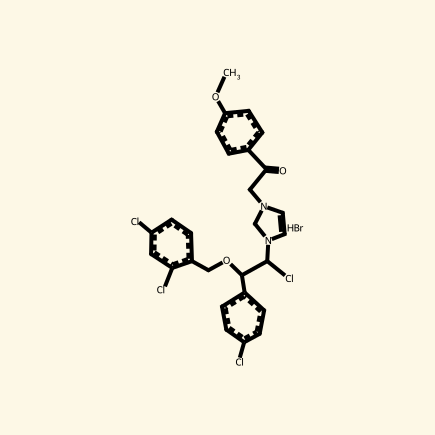 Br.COc1ccc(C(=O)CN2C=CN(C(Cl)C(OCc3ccc(Cl)cc3Cl)c3ccc(Cl)cc3)C2)cc1